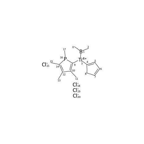 C[B](C)[Ti+4]([C]1=CC=CC1)[c]1c(C)c(C)c(C)p1C.[Cl-].[Cl-].[Cl-].[Cl-]